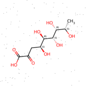 C[C@H](O)[C@@H](O)[C@H](O)[C@H](O)[C@@H](O)CC(=O)C(=O)O